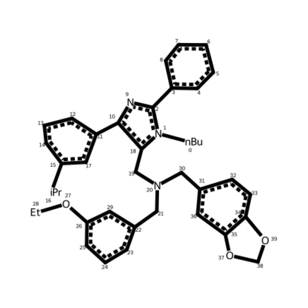 CCCCn1c(-c2ccccc2)nc(-c2cccc(C(C)C)c2)c1CN(Cc1cccc(OCC)c1)Cc1ccc2c(c1)OCO2